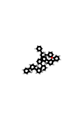 c1ccc(-c2cc(-c3ccc(-n4c5ccccc5c5c6oc7ccccc7c6ccc54)c(-c4cnccc4-n4c5ccccc5c5c6oc7ccccc7c6ccc54)c3)nc(-c3ccccc3)n2)cc1